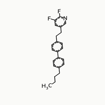 CCCCc1ccc(-c2ccc(CCc3cnc(F)c(F)c3)cc2)cc1